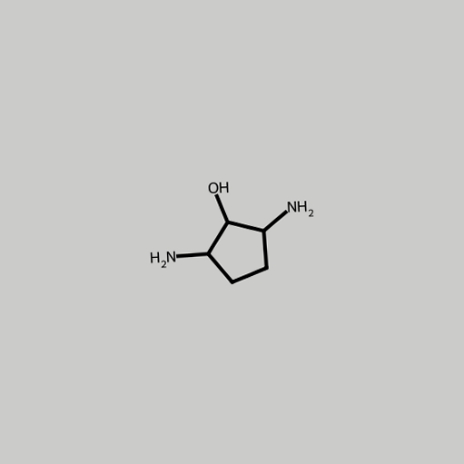 NC1CCC(N)C1O